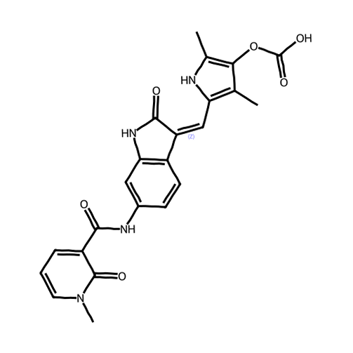 Cc1[nH]c(/C=C2\C(=O)Nc3cc(NC(=O)c4cccn(C)c4=O)ccc32)c(C)c1OC(=O)O